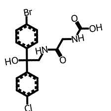 O=C(O)NCC(=O)NCC(O)(c1ccc(Cl)cc1)c1ccc(Br)cc1